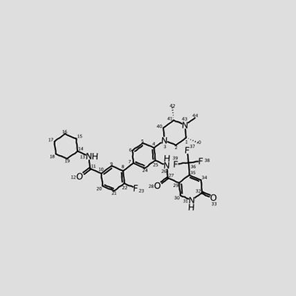 C[C@@H]1CN(c2ccc(-c3cc(C(=O)NC4CCCCC4)ccc3F)cc2NC(=O)c2c[nH]c(=O)cc2C(F)(F)F)C[C@H](C)N1C